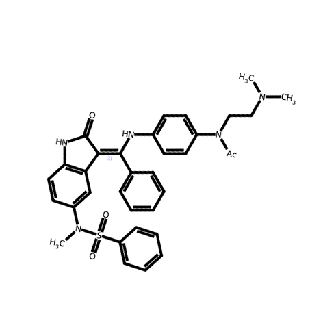 CC(=O)N(CCN(C)C)c1ccc(N/C(=C2\C(=O)Nc3ccc(N(C)S(=O)(=O)c4ccccc4)cc32)c2ccccc2)cc1